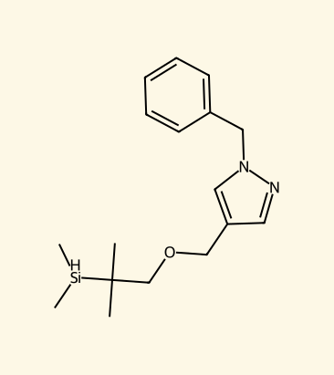 C[SiH](C)C(C)(C)COCc1cnn(Cc2ccccc2)c1